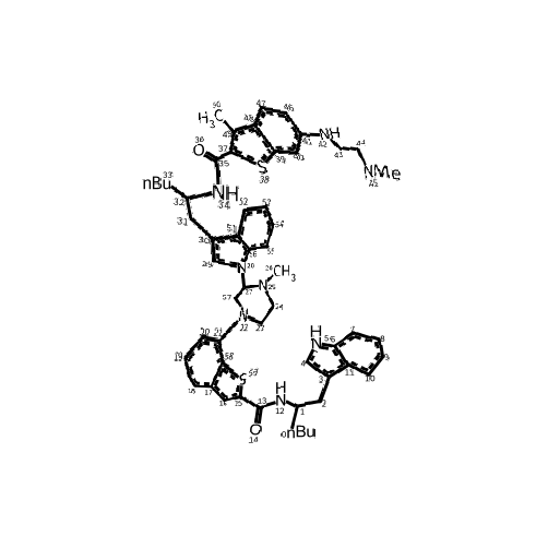 CCCCC(Cc1c[nH]c2ccccc12)NC(=O)c1cc2cccc(N3CCN(C)C(n4cc(CC(CCCC)NC(=O)c5sc6cc(NCCNC)ccc6c5C)c5ccccc54)C3)c2s1